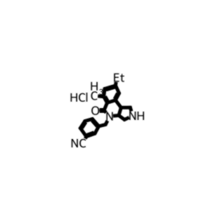 CCc1cc(C)c2c(c1)C1CNCC1N(Cc1cccc(C#N)c1)C2=O.Cl